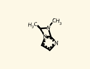 CC1N(C)c2nccn21